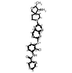 C[C@@H]1OCC2(CCN(c3cnc4nc(Sc5cccc(NC(=O)c6cnccn6)c5Cl)ncc4n3)CC2)[C@@H]1N